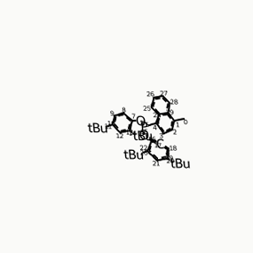 Cc1ccc(P(Oc2ccc(C(C)(C)C)cc2C(C)(C)C)Oc2ccc(C(C)(C)C)cc2C(C)(C)C)c2ccccc12